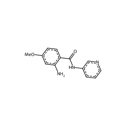 COc1ccc(C(=O)Nc2cccnc2)c(N)c1